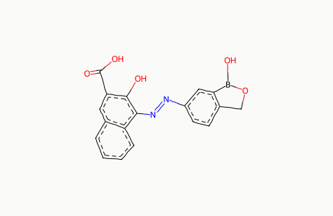 O=C(O)c1cc2ccccc2c(N=Nc2ccc3c(c2)B(O)OC3)c1O